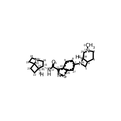 CN1CCC2CN(c3ccc4c(C(=O)N[C@H]5CN6CCC67CC[C@H]57)nsc4c3)[C@H]2C1